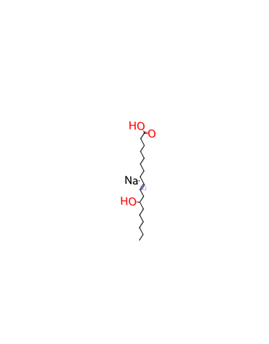 CCCCCCC(O)C/C=C/CCCCCCCC(=O)O.[Na]